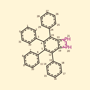 c1ccc(-c2c(-c3ccccc3)c(-c3ccccc3)c3[pH][pH]c3c2-c2ccccc2)cc1